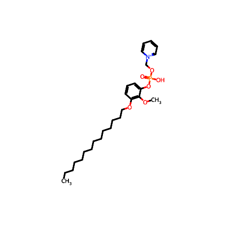 CCCCCCCCCCCCCCOc1cccc(OP(=O)(O)OC[n+]2ccccc2)c1OC